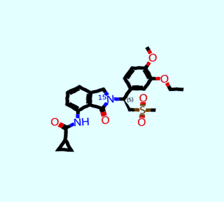 CCOc1cc([C@@H](CS(C)(=O)=O)[15N]2Cc3cccc(NC(=O)C4CC4)c3C2=O)ccc1OC